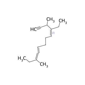 C#CC(C)/C(=C\CCC=C=C(C)CC)CC